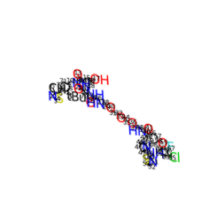 Cc1ncsc1-c1ccc(CNC(=O)[C@@H]2C[C@@H](O)CN2C(=O)[C@@H](NC(=O)CNCCOCCOCCOCCNC(=O)[C@]2(Cc3cccc(Nc4nccs4)n3)CC[C@@H](Oc3cccc(Cl)c3F)CC2)C(C)(C)C)cc1